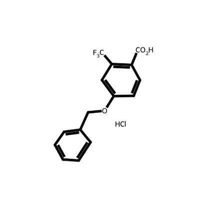 Cl.O=C(O)c1ccc(OCc2ccccc2)cc1C(F)(F)F